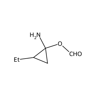 CCC1CC1(N)OC=O